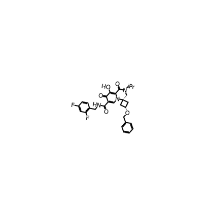 CC(C)N1C[C@]2(C[C@@H](OCc3ccccc3)C2)n2cc(C(=O)NCc3ccc(F)cc3F)c(=O)c(O)c2C1=O